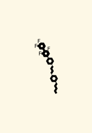 CCCCC[C@H]1CC[C@H](CCCC[C@H]2CC[C@H](c3cc(F)c(-c4ccc(F)c(F)c4)c(F)c3)CC2)CC1